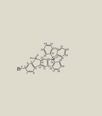 CC1(C)c2cc(Br)ccc2-c2ccc([Si](c3ccccc3)(c3ccccc3)c3ccccc3)cc21